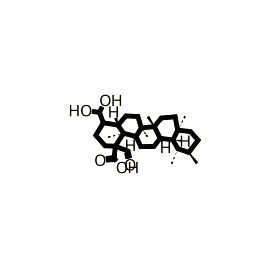 C[C@@H]1[C@H]2[C@H]3CC[C@@H]4[C@]5(C)[C@@H](CC[C@@]4(C)[C@]3(C)CC[C@@]2(C)CC[C@H]1C)C(C(O)O)CCC5(C=O)C(=O)O